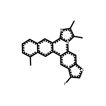 Cc1nc2c3cc4cccc(C)c4cc3c3cc4c(F)csc4cc3n2c1C